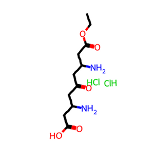 CCOC(=O)CC(N)CC(=O)CC(N)CC(=O)O.Cl.Cl